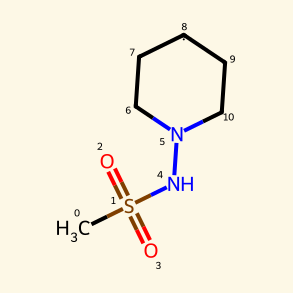 CS(=O)(=O)NN1CC[CH]CC1